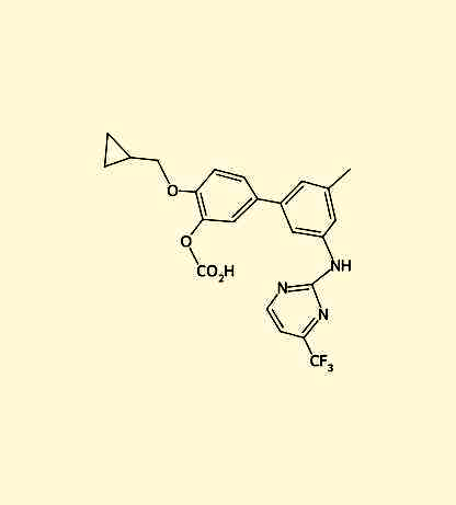 Cc1cc(Nc2nccc(C(F)(F)F)n2)cc(-c2ccc(OCC3CC3)c(OC(=O)O)c2)c1